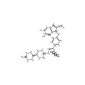 Cc1cc2nc(C(F)(F)F)n(Cc3ccc(C=CCN4CCC(N5CCN(C)CC5)CC4)cc3)c2nc1C.Cl.Cl.Cl